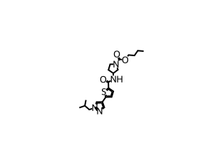 CCCCOC(=O)N1CCC(NC(=O)c2ccc(-c3cnn(CC(C)C)c3)s2)C1